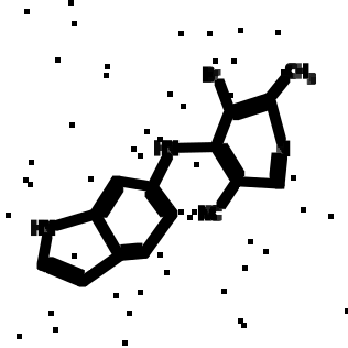 Cc1ncc(C#N)c(Nc2ccc3cc[nH]c3c2)c1Br